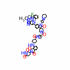 CC(C)n1cnc2cc(-c3ccc4c(c3)N(C3CC(N5CCCCC5)C3)C(=O)C43CCN(C(=O)[C@@H]4CCN(C(=O)[C@H]5CC[C@H](Nc6cccc7c6C(=O)N(C6CCC(=O)NC6=O)C7=O)CC5)C4)CC3)nc(Nc3ccccc3F)c21